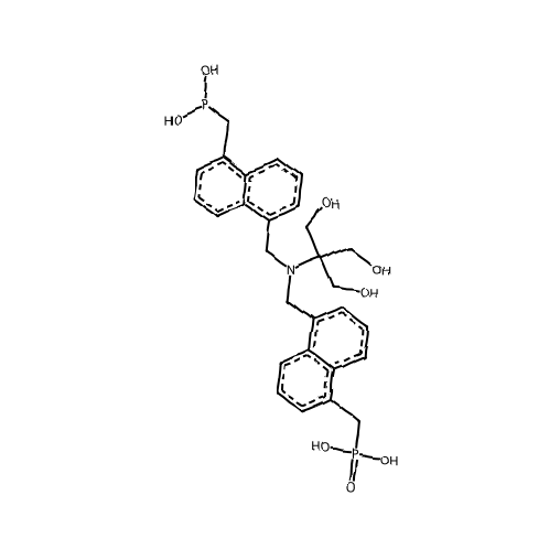 O=P(O)(O)Cc1cccc2c(CN(Cc3cccc4c(CP(O)O)cccc34)C(CO)(CO)CO)cccc12